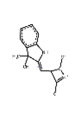 CC1(C)/C(=C/C2C([O-])=[C+][C+]2[O-])Nc2ccccc21